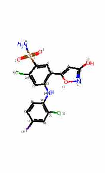 NS(=O)(=O)c1cc(-c2cc(O)no2)c(Nc2ccc(I)cc2Cl)cc1F